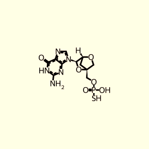 Nc1nc2c(ncn2[C@@H]2O[C@@]3(COP(=O)(O)S)CO[C@@H]2C3)c(=O)[nH]1